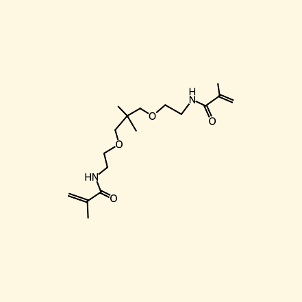 C=C(C)C(=O)NCCOCC(C)(C)COCCNC(=O)C(=C)C